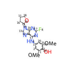 COc1cc(Nc2nc(F)nc3c2ncn3C2CCCO2)cc(OC)c1O